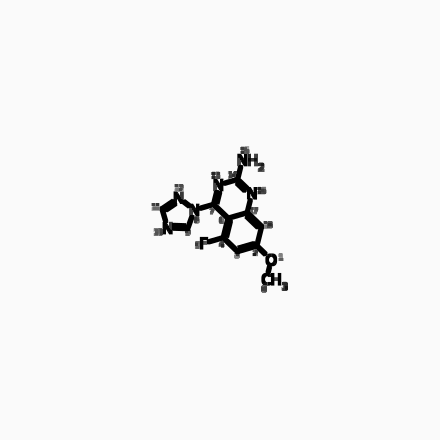 COc1cc(F)c2c(-n3cncn3)nc(N)nc2c1